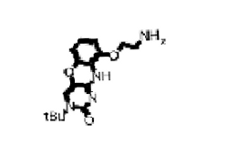 CC(C)(C)n1cc2c(nc1=O)Nc1c(OCCN)cccc1O2